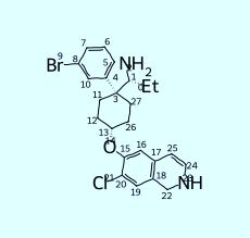 CC[C@@H](N)[C@]1(c2cccc(Br)c2)CC[C@@H](Oc2cc3c(cc2Cl)CNC=C3)CC1